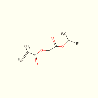 C=C(C)C(=O)OCC(=O)OC(C(C)C)C(F)(F)F